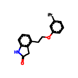 CC(C)c1cccc(OCCc2cccc3c2CC(=O)N3)c1